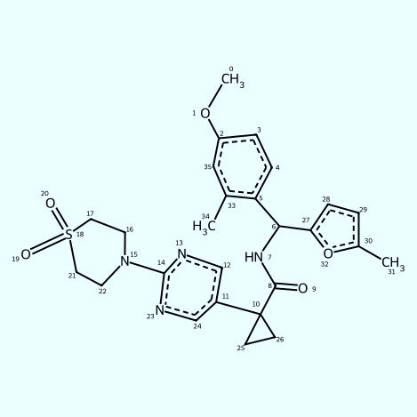 COc1ccc(C(NC(=O)C2(c3cnc(N4CCS(=O)(=O)CC4)nc3)CC2)c2ccc(C)o2)c(C)c1